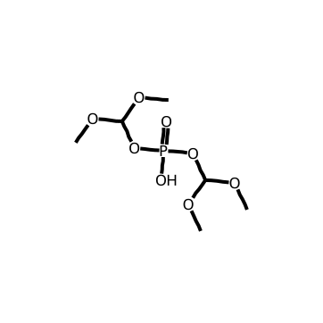 COC(OC)OP(=O)(O)OC(OC)OC